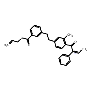 C=CCOC(=O)c1cccc(CCc2ccc(C(=O)/C(=C\C)c3ccccc3)c(C)c2)c1